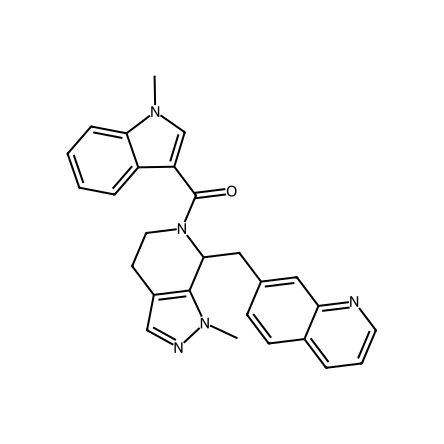 Cn1ncc2c1C(Cc1ccc3cccnc3c1)N(C(=O)c1cn(C)c3ccccc13)CC2